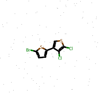 Clc1s[c]c(-c2ccc(Br)s2)c1Cl